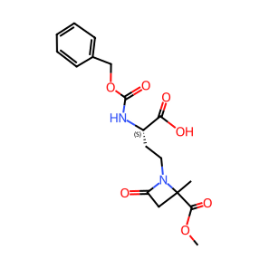 COC(=O)C1(C)CC(=O)N1CC[C@H](NC(=O)OCc1ccccc1)C(=O)O